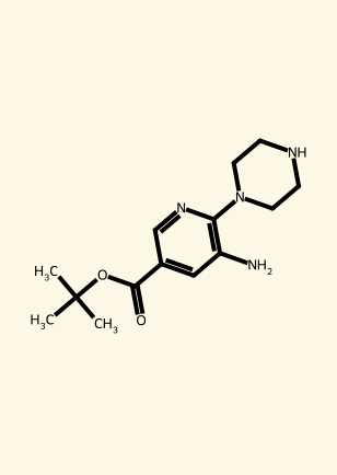 CC(C)(C)OC(=O)c1cnc(N2CCNCC2)c(N)c1